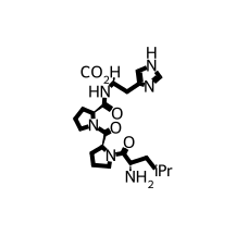 CC(C)C[C@H](N)C(=O)N1CCC[C@H]1C(=O)N1CCC[C@H]1C(=O)N[C@@H](Cc1c[nH]cn1)C(=O)O